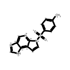 Cc1ccc(S(=O)(=O)n2ccc3c4[nH]cnc4cnc32)cc1